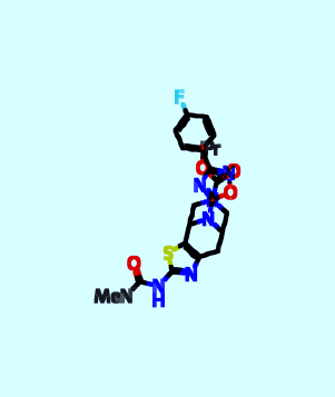 CNC(=O)Nc1nc2c(s1)C1CN(C(=O)OC(C)C)CC(C2)N1c1nc(-c2ccc(F)cc2)no1